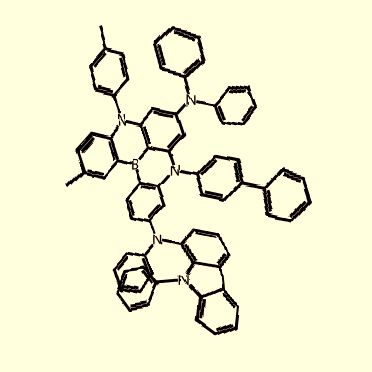 Cc1ccc(N2c3ccc(C)cc3B3c4ccc(N(c5ccccc5)c5cccc6c7ccccc7n(-c7ccccc7)c56)cc4N(c4ccc(-c5ccccc5)cc4)c4cc(N(c5ccccc5)c5ccccc5)cc2c43)cc1